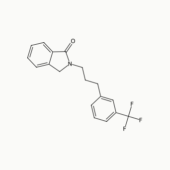 O=C1c2ccccc2CN1CCCc1cccc(C(F)(F)F)c1